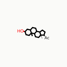 CC(=O)C1CCC2C3CCC4CC(O)CCC4(C)C3CC[C@]12C